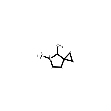 CC1N(C)CCC12CC2